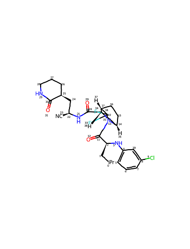 CC(C)C[C@H](Nc1cccc(Cl)c1)C(=O)N1[C@H]2CC[C@@H]([C@H]1C(=O)N[C@@H](C#N)C[C@@H]1CCCNC1=O)C(F)(F)C2